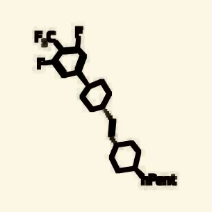 CCCCC[C@H]1CC[C@H](/C=C/[C@H]2CC[C@H](c3cc(F)c(C(F)(F)F)c(F)c3)CC2)CC1